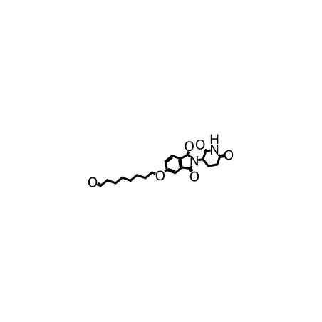 O=CCCCCCCCOc1ccc2c(c1)C(=O)N(C1CCC(=O)NC1=O)C2=O